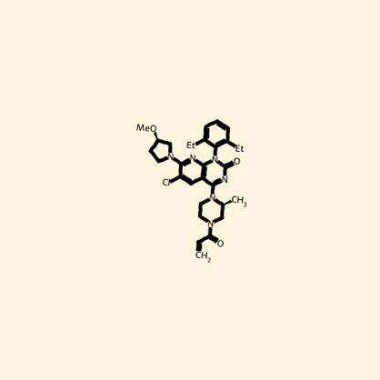 C=CC(=O)N1CCN(c2nc(=O)n(-c3c(CC)cccc3CC)c3nc(N4CC[C@@H](OC)C4)c(Cl)cc23)[C@@H](C)C1